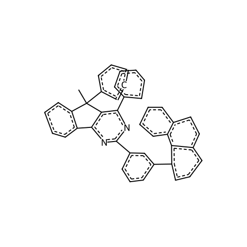 CC1(c2ccccc2)c2ccccc2-c2nc(-c3cccc(-c4cccc5ccc6ccccc6c45)c3)nc(-c3ccccc3)c21